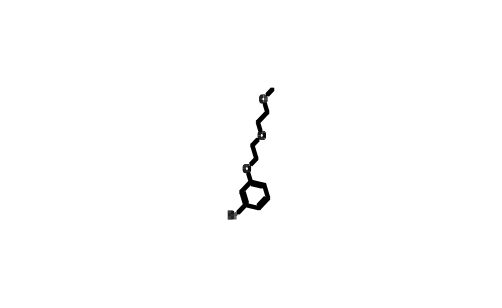 COCCOCCOc1cccc(Br)c1